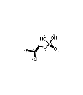 O=P(O)(O)OC=C(F)Cl